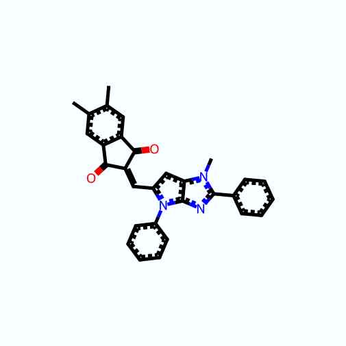 Cc1cc2c(cc1C)C(=O)C(=Cc1cc3c(nc(-c4ccccc4)n3C)n1-c1ccccc1)C2=O